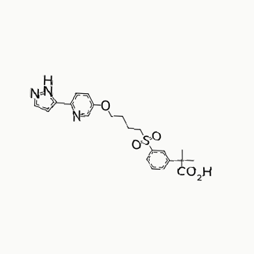 CC(C)(C(=O)O)c1cccc(S(=O)(=O)CCCCOc2ccc(-c3ccn[nH]3)nc2)c1